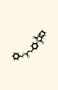 O=C(CCc1ccc(N2C(=O)C3C4C=CC(O4)C3C2=O)cc1)OCc1ccccc1